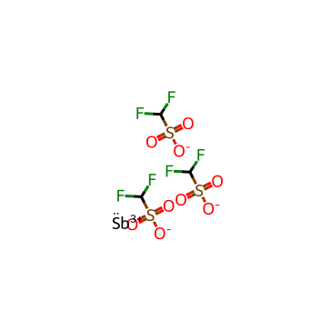 O=S(=O)([O-])C(F)F.O=S(=O)([O-])C(F)F.O=S(=O)([O-])C(F)F.[Sb+3]